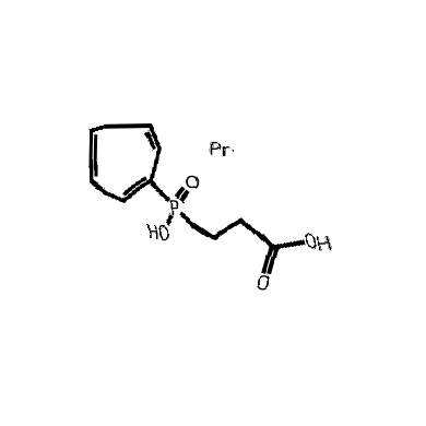 O=C(O)CCP(=O)(O)c1ccccc1.[Pr]